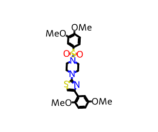 COc1ccc(OC)c(-c2csc(N3CCN(S(=O)(=O)c4ccc(OC)c(OC)c4)CC3)n2)c1